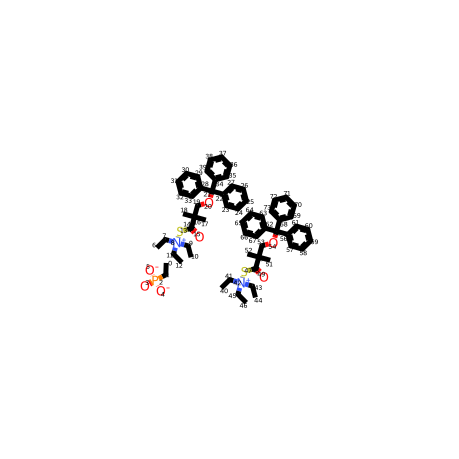 CCP(=O)([O-])[O-].CC[N+](CC)(CC)SC(=O)C(C)(C)COC(c1ccccc1)(c1ccccc1)c1ccccc1.CC[N+](CC)(CC)SC(=O)C(C)(C)COC(c1ccccc1)(c1ccccc1)c1ccccc1